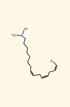 CC/C=C\C/C=C\C/C=C\CCCCCCCN(C)CCC